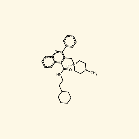 CN1CC[N+]([O-])(Cc2c(-c3ccccc3)nc3ccccc3c2C(=O)NCCC2CCCCC2)CC1